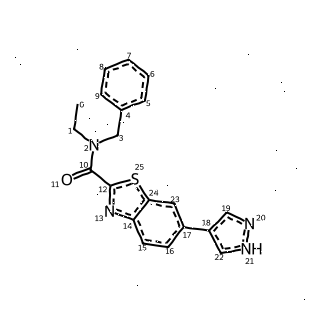 CCN(Cc1ccccc1)C(=O)c1nc2ccc(-c3cn[nH]c3)cc2s1